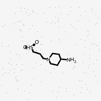 NC1CCN(CCC[SH](=O)=O)CC1